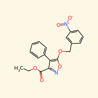 CCOC(=O)c1noc(OCc2cccc([N+](=O)[O-])c2)c1-c1ccccc1